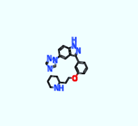 c1cc(OCCC2CCCCN2)cc(-c2n[nH]c3ccc(-n4cncn4)cc23)c1